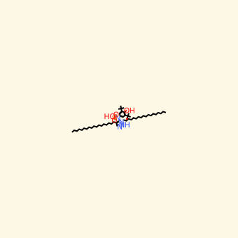 CCCCCCCCCCCCCCCCCCC1=C(N(c2cc(C(C)(C)C)c(O)c(C(C)(C)C)c2)S(=O)(=O)O)N(CCCCCCCCCCCCCCCCCC)NN=C1